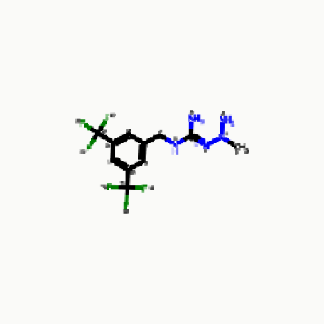 CN(N)/N=C(\N)NCc1cc(C(F)(F)F)cc(C(F)(F)F)c1